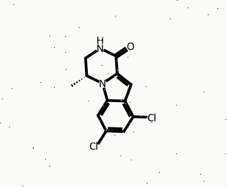 C[C@@H]1CNC(=O)c2cc3c(Cl)cc(Cl)cc3n21